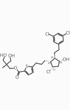 CC(CO)(CO)COC(=O)c1ccc(CCC[C@@H]2[C@@H](CCc3cc(Cl)cc(Cl)c3)[C@H](O)C[C@@H]2Cl)s1